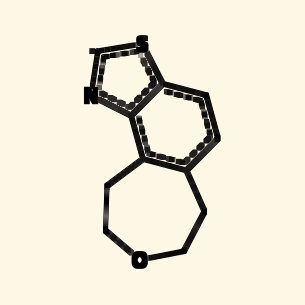 [c]1nc2c3c(ccc2s1)CCOCC3